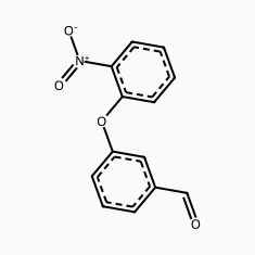 O=Cc1cccc(Oc2ccccc2[N+](=O)[O-])c1